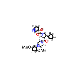 COc1ccc(OC)c(N2CCN(C(=O)[C@@H]3CN(S(=O)(=O)c4cccnc4)C[C@H]3c3ccccc3)CC2)c1